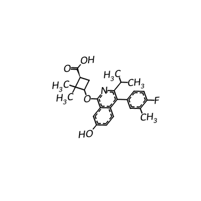 Cc1cc(-c2c(C(C)C)nc(OC3C[C@H](C(=O)O)C3(C)C)c3cc(O)ccc23)ccc1F